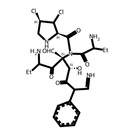 CCC(N)C(=O)N(C(=O)[C@H]1NC[C@@H](Cl)C1Cl)[C@@](C=O)(C(=O)C(N)CC)[C@H](O)C(=O)C(C=N)c1ccccc1